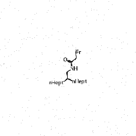 CCCCCCCC(CCCCCCC)CNC(=O)CC(C)C